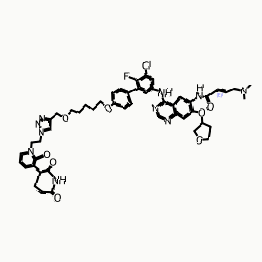 CN(C)C/C=C/C(=O)Nc1cc2c(Nc3cc(Cl)c(F)c(-c4ccc(OCCCCCOCc5cn(CCn6cccc(C7CCC(=O)NC7=O)c6=O)nn5)cc4)c3)ncnc2cc1OC1CCOC1